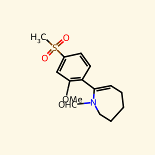 COc1cc(S(C)(=O)=O)ccc1C1=CCCCCN1C=O